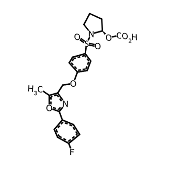 Cc1oc(-c2ccc(F)cc2)nc1COc1ccc(S(=O)(=O)N2CCC[C@H]2OC(=O)O)cc1